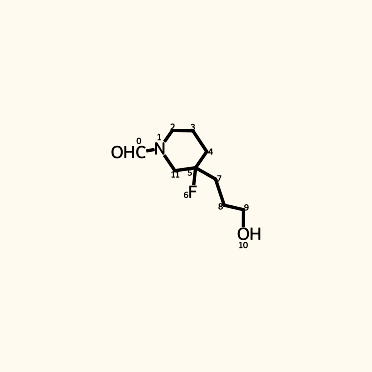 O=CN1CCCC(F)(CCCO)C1